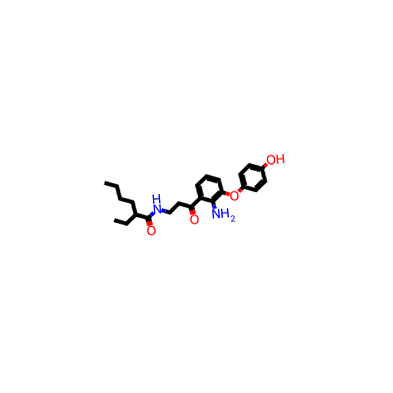 CCCCC(CC)C(=O)NCCC(=O)c1cccc(Oc2ccc(O)cc2)c1N